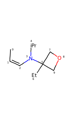 C/C=C\N(C(C)C)C1(CC)COC1